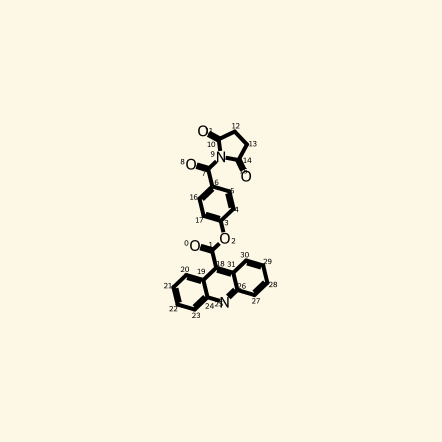 O=C(Oc1ccc(C(=O)N2C(=O)CCC2=O)cc1)c1c2ccccc2nc2ccccc12